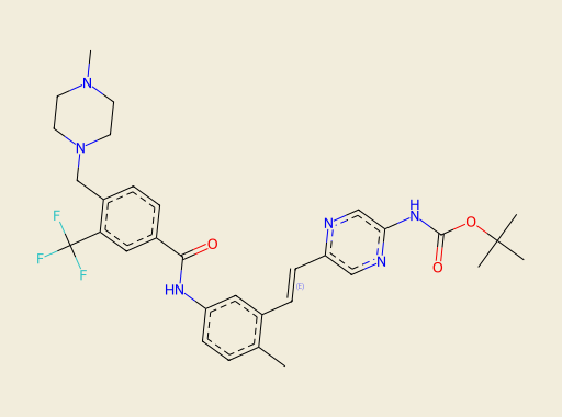 Cc1ccc(NC(=O)c2ccc(CN3CCN(C)CC3)c(C(F)(F)F)c2)cc1/C=C/c1cnc(NC(=O)OC(C)(C)C)cn1